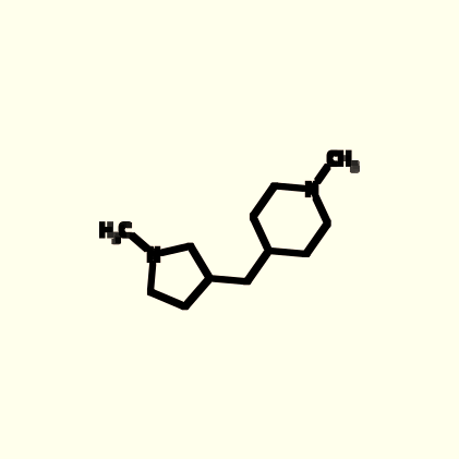 CN1CCC(CC2CCN(C)C2)CC1